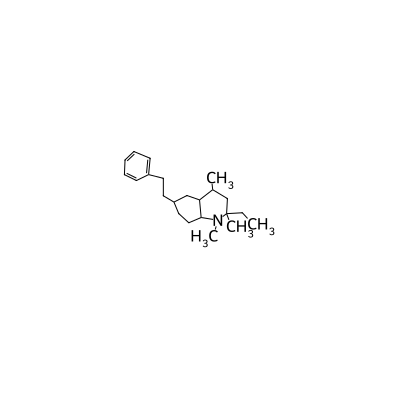 CCC1(C)CC(C)C2CC(CCc3ccccc3)CCC2N1C